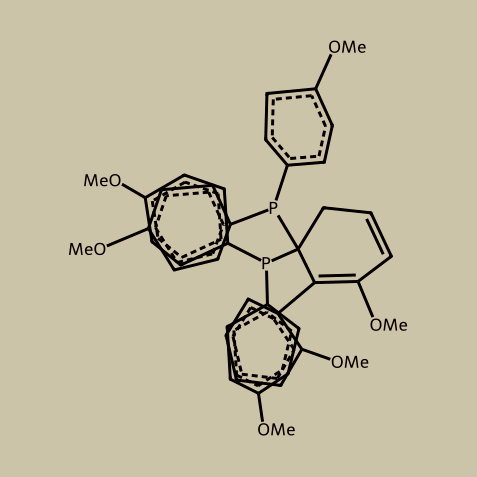 COC1=C(c2ccccc2OC)C(P(c2ccc(OC)cc2)c2ccc(OC)cc2)(P(c2ccc(OC)cc2)c2ccc(OC)cc2)CC=C1